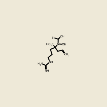 C=CCC(CCCNC(=N)N)(C(=O)O)N(O)C(O)CC